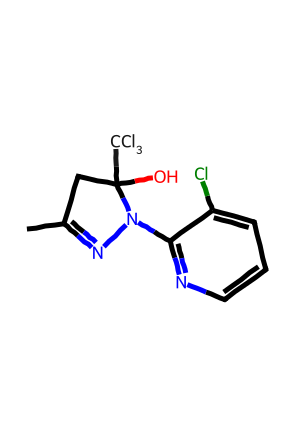 CC1=NN(c2ncccc2Cl)C(O)(C(Cl)(Cl)Cl)C1